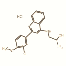 COc1ccc(-c2cc(NC[C@H](C)O)c3ccccc3n2)cc1Cl.Cl